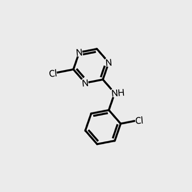 Clc1ncnc(Nc2ccccc2Cl)n1